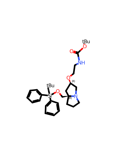 CC(C)(C)OC(=O)NCCO[C@H]1CN2CCC[C@]2(CO[Si](c2ccccc2)(c2ccccc2)C(C)(C)C)C1